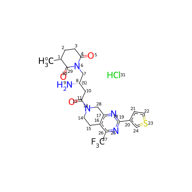 CC1CCC(=O)N(C[C@@H](N)CC(=O)N2CCc3c(nc(-c4ccsc4)nc3C(F)(F)F)C2)C1=O.Cl